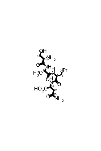 CC(C)C[C@H](NC(=O)[C@H](C)NC(=O)[C@@H](N)CO)C(=O)N[C@@H](CC(N)=O)C(=O)O